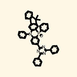 CC1(C)c2ccccc2-c2cc3c(cc21)P(=O)(c1ccccc1)c1cc(-c2nc(-c4ccccc4)nc(-c4ccccc4)n2)ccc1N3c1ccccc1